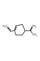 C=CC1=CCC(C(=C)C)CC1